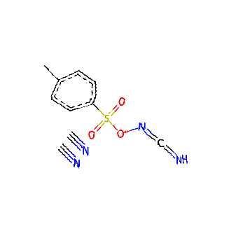 C#N.C#N.Cc1ccc(S(=O)(=O)ON=C=N)cc1